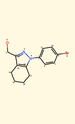 [O]Cc1nn(-c2ccc(Br)cc2)c2c1CCCC2